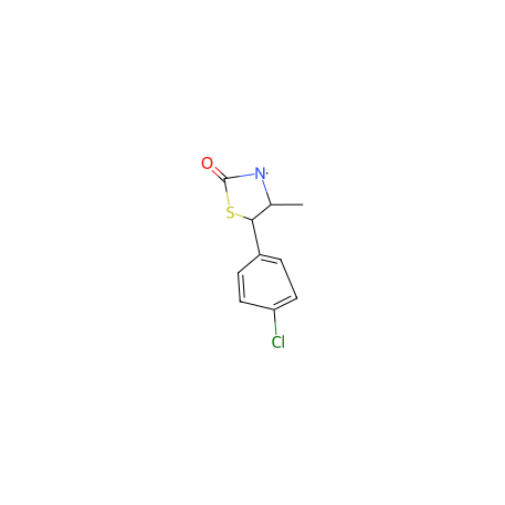 CC1[N]C(=O)SC1c1ccc(Cl)cc1